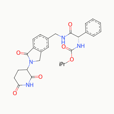 CC(C)OC(=O)N[C@H](C(=O)NCc1ccc2c(c1)CN(C1CCC(=O)NC1=O)C2=O)c1ccccc1